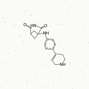 O=C1NC(=O)C2(Nc3ccc(C4=CCNCC4)cc3)CC1C2